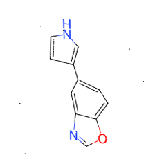 c1cc(-c2ccc3ocnc3c2)c[nH]1